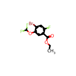 CCOC(=O)c1cc(OC(F)F)c(Br)cc1F